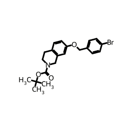 CC(C)(C)OC(=O)N1CCc2ccc(OCc3ccc(Br)cc3)cc2C1